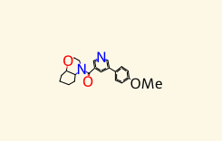 COc1ccc(-c2cncc(C(=O)N3CCOC4CCCCC43)c2)cc1